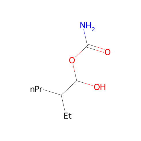 CCCC(CC)C(O)OC(N)=O